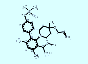 C=CCOC1(C)CCN(c2c(-c3ccc(O[Si](C)(C)C(C)(C)C)cc3)c(C)nc(C)c2C(OC(C)(C)C)C(=O)O)CC1